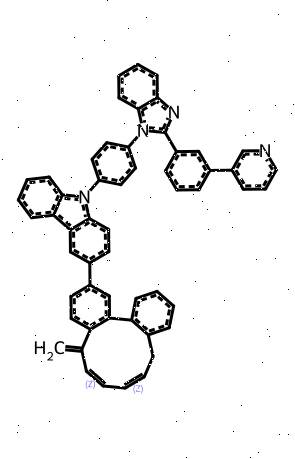 C=C1/C=C\C=C/Cc2ccccc2-c2cc(-c3ccc4c(c3)c3ccccc3n4-c3ccc(-n4c(-c5cccc(-c6cccnc6)c5)nc5ccccc54)cc3)ccc21